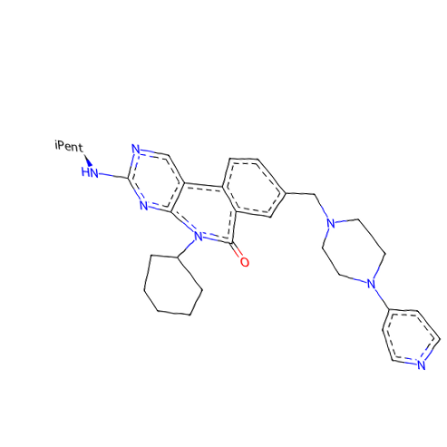 CCC[C@H](C)Nc1ncc2c3ccc(CN4CCN(c5ccncc5)CC4)cc3c(=O)n(C3CCCCC3)c2n1